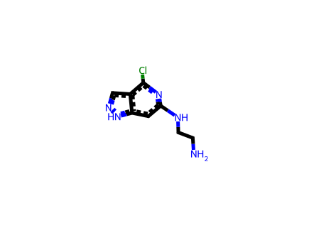 NCCNc1cc2[nH]ncc2c(Cl)n1